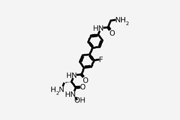 NCC(=O)Nc1ccc(-c2ccc(C(=O)N[C@@H](CN)C(=O)NO)cc2F)cc1